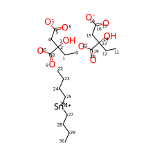 CCC(O)(CC(=O)[O-])C(=O)[O-].CCC(O)(CC(=O)[O-])C(=O)[O-].CCC[CH2][Sn+4][CH2]CCC